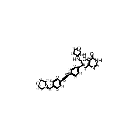 O=c1[nH]cnc(C[C@@H](CN[C@@H]2CCOC2)c2ccc(C#Cc3ccc(CN4CCOCC4)cc3)cc2)c1O